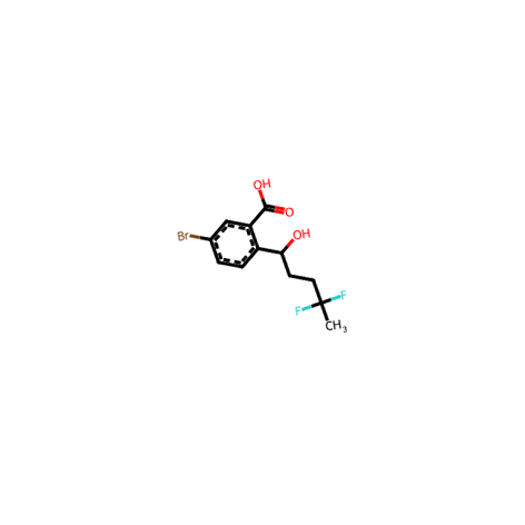 CC(F)(F)CCC(O)c1ccc(Br)cc1C(=O)O